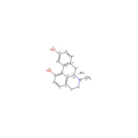 CN1CCc2ccc(O)c3c2[C@H]1Cc1ccc(O)cc1-3